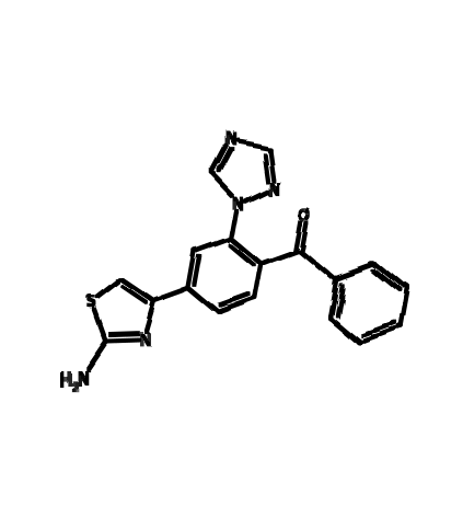 Nc1nc(-c2ccc(C(=O)c3ccccc3)c(-n3cncn3)c2)cs1